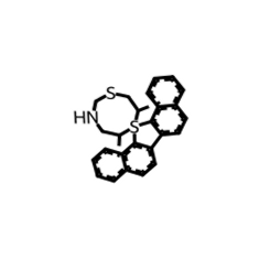 CC1CNCSCC(C)S12c1c(ccc3ccccc13)-c1ccc3ccccc3c12